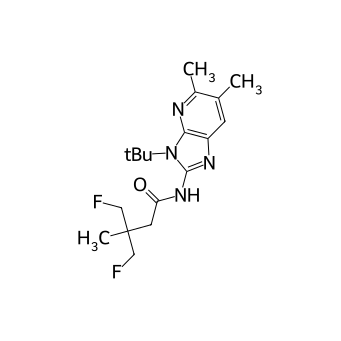 Cc1cc2nc(NC(=O)CC(C)(CF)CF)n(C(C)(C)C)c2nc1C